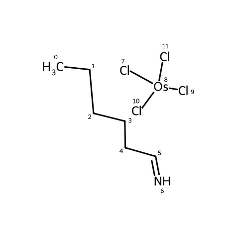 CCCCCC=N.[Cl][Os]([Cl])([Cl])[Cl]